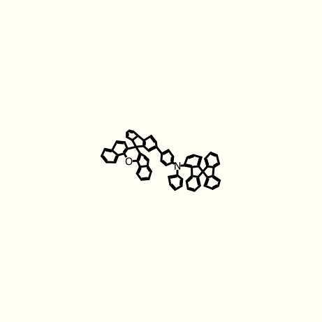 C1=CC2c3ccc(-c4ccc(N(c5ccccc5)c5cccc6c5-c5ccccc5C65c6ccccc6-c6ccccc65)cc4)cc3C3(c4ccc5ccccc5c4Oc4c3ccc3ccccc43)C2C=C1